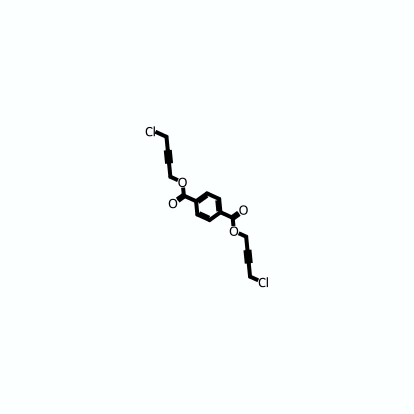 O=C(OCC#CCCl)c1ccc(C(=O)OCC#CCCl)cc1